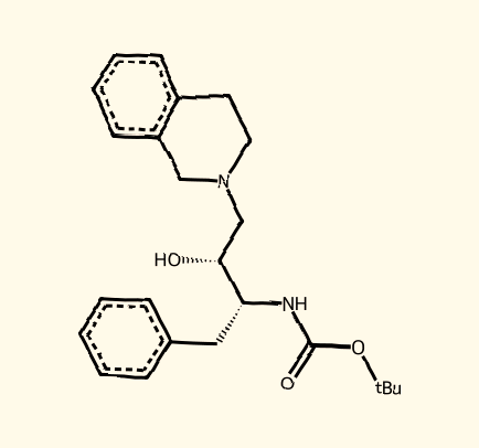 CC(C)(C)OC(=O)N[C@H](Cc1ccccc1)[C@H](O)CN1CCc2ccccc2C1